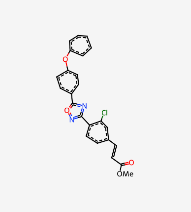 COC(=O)C=Cc1ccc(-c2noc(-c3ccc(Oc4ccccc4)cc3)n2)c(Cl)c1